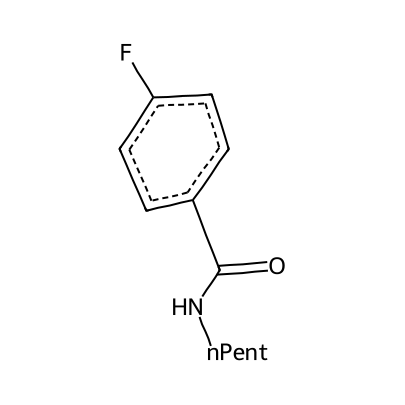 [CH2]CCCCNC(=O)c1ccc(F)cc1